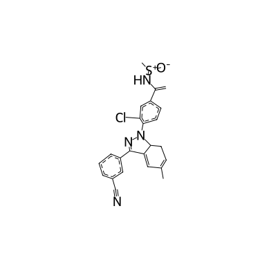 C=C(N[S+](C)[O-])c1ccc(N2N=C(c3cccc(C#N)c3)C3=CC(C)=CCC32)c(Cl)c1